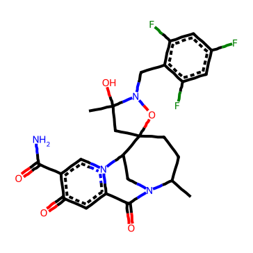 CC1CCC2(CC(C)(O)N(Cc3c(F)cc(F)cc3F)O2)C2CN1C(=O)c1cc(=O)c(C(N)=O)cn12